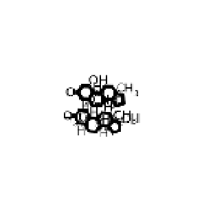 C[C@@]12CCC[C@H]1[C@@H]1CC[C@H]3CC(=O)CC(O)[C@]3(C)[C@H]1CC2.C[C@]12CCC(=O)C[C@H]1CC[C@@H]1[C@@H]2CC[C@]2(C)[C@@H](O)CC[C@@H]12